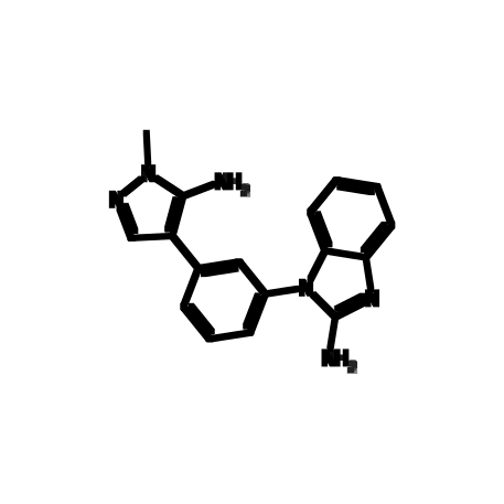 Cn1ncc(-c2cccc(-n3c(N)nc4ccccc43)c2)c1N